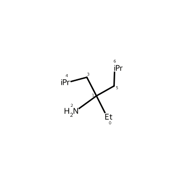 [CH2]CC(N)(CC(C)C)CC(C)C